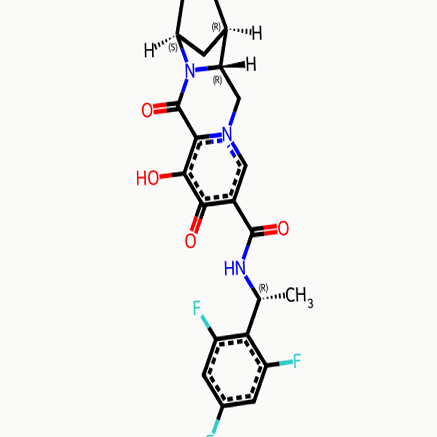 C[C@@H](NC(=O)c1cn2c(c(O)c1=O)C(=O)N1[C@H]3CC[C@H](C3)[C@@H]1C2)c1c(F)cc(F)cc1F